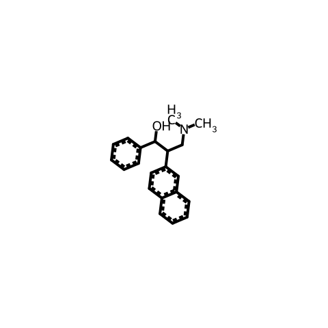 CN(C)CC(c1ccc2ccccc2c1)C(O)c1ccccc1